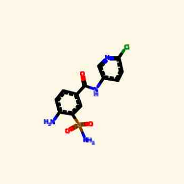 Nc1ccc(C(=O)Nc2ccc(Cl)nc2)cc1S(N)(=O)=O